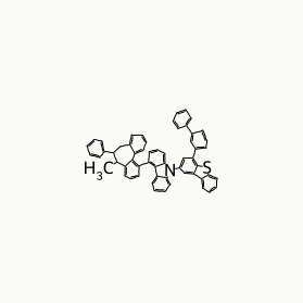 CC1c2cccc(-c3cccc4c3c3ccccc3n4-c3cc(-c4cccc(-c5ccccc5)c4)c4sc5ccccc5c4c3)c2-c2ccccc2CC1c1ccccc1